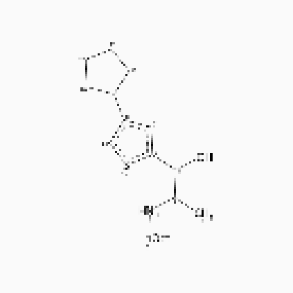 CCCCCCCCNC(C)C(O)c1cc(C2CCCC2)cs1